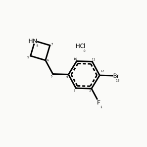 Cl.Fc1cc(CC2CNC2)ccc1Br